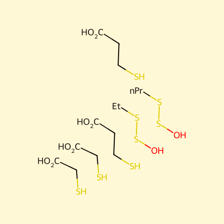 CCCSSO.CCSSO.O=C(O)CCS.O=C(O)CCS.O=C(O)CS.O=C(O)CS